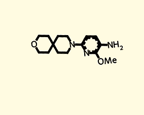 COc1nc(N2CCC3(CCOCC3)CC2)ccc1N